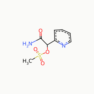 CS(=O)(=O)OC(C(N)=O)c1ccccn1